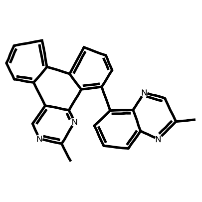 Cc1cnc2c(-c3cccc4c5ccccc5c5cnc(C)nc5c34)cccc2n1